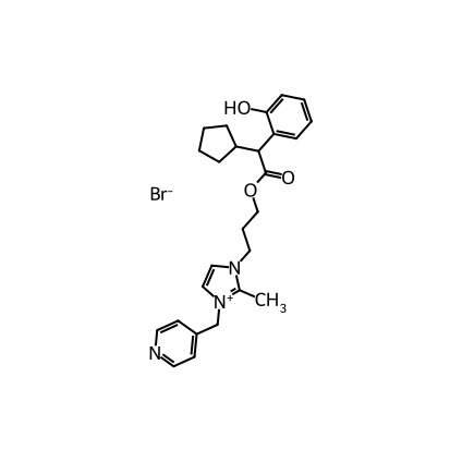 Cc1n(CCCOC(=O)C(c2ccccc2O)C2CCCC2)cc[n+]1Cc1ccncc1.[Br-]